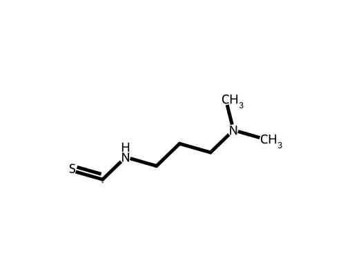 CN(C)CCCN[C]=S